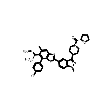 Cc1cc2nc(-c3ccc4c(c3)c(C3CCN(C(=O)[C@@H]5CCCO5)CC3)nn4C)sc2c(-c2ccc(Cl)cc2)c1[C@H](OC(C)(C)C)C(=O)O